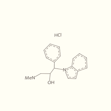 CNCC(O)C(c1ccccc1)n1ccc2ccccc21.Cl